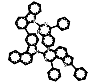 c1ccc(-c2cc3ccc4nc(-n5c6ccc(-c7cccc8c9ccccc9n(-c9nc(-c%10ccccc%10)c%10ccccc%10n9)c78)cc6c6c7ccccc7ccc65)nc(-c5ccccc5)c4c3s2)cc1